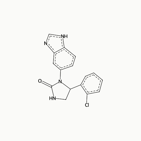 O=C1NCC(c2ccccc2Cl)N1c1ccc2[nH]cnc2c1